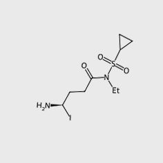 CCN(C(=O)CC[C@H](N)I)S(=O)(=O)C1CC1